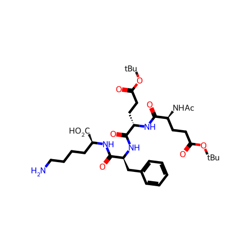 CC(=O)N[C@@H](CCC(=O)OC(C)(C)C)C(=O)N[C@@H](CCC(=O)OC(C)(C)C)C(=O)N[C@@H](Cc1ccccc1)C(=O)N[C@@H](CCCCN)C(=O)O